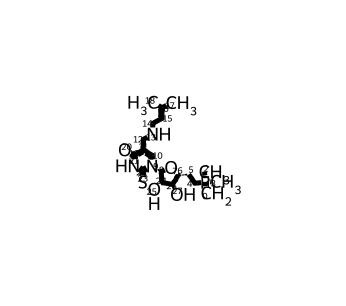 C=P(C)(C)CC[C@H]1O[C@@H](n2cc(CNCC=C(C)C)c(=O)[nH]c2=S)C(O)[C@@H]1O